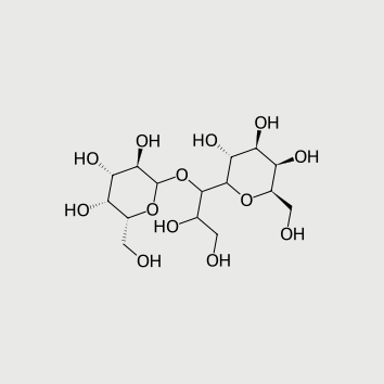 OCC(O)C(OC1O[C@H](CO)[C@H](O)[C@H](O)[C@H]1O)C1O[C@H](CO)[C@H](O)[C@H](O)[C@H]1O